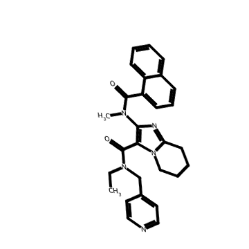 CCN(Cc1ccncc1)C(=O)c1c(N(C)C(=O)c2cccc3ccccc23)nc2n1CCCC2